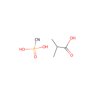 CC(C)C(=O)O.N#CP(=O)(O)O